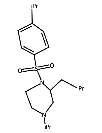 CC(C)CC1CN(C(C)C)CCN1S(=O)(=O)c1ccc(C(C)C)cc1